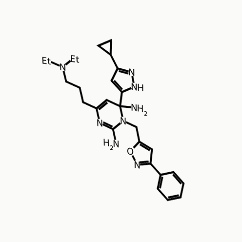 CCN(CC)CCCC1=CC(N)(c2cc(C3CC3)n[nH]2)N(Cc2cc(-c3ccccc3)no2)C(N)=N1